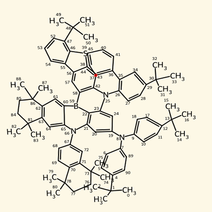 CC(C)(C)c1ccc(N(c2ccc(C(C)(C)C)cc2)c2cc3c4c(c2)N(c2ccc(C(C)(C)C)cc2-c2ccccc2)c2cc5sc6c(C(C)(C)C)cccc6c5cc2B4c2cc4c(cc2N3c2ccc3c(c2)C(C)(C)CCC3(C)C)C(C)(C)CCC4(C)C)cc1